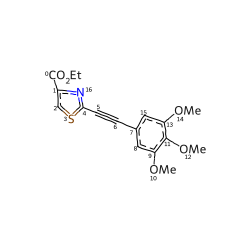 CCOC(=O)c1csc(C#Cc2cc(OC)c(OC)c(OC)c2)n1